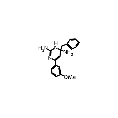 COc1cccc(C2=CC(N)(Cc3ccccc3)NC(N)=N2)c1